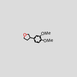 COc1ccc([C]2CCOC2)cc1OC